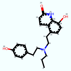 CCCN(CCc1ccc(O)cc1)CCc1ccc(O)c2[nH]c(=O)ccc12